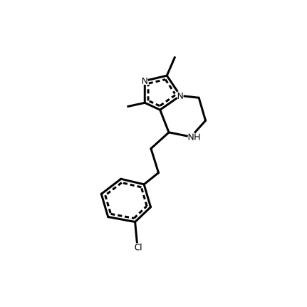 Cc1nc(C)n2c1C(CCc1cccc(Cl)c1)NCC2